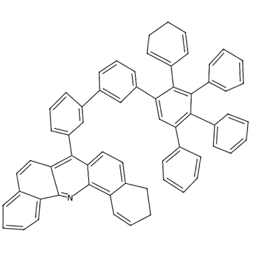 C1=CC(c2c(-c3cccc(-c4cccc(-c5c6ccc7c(c6nc6c5ccc5ccccc56)C=CCC7)c4)c3)cc(-c3ccccc3)c(-c3ccccc3)c2-c2ccccc2)=CCC1